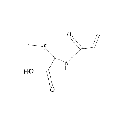 C=CC(=O)NC(SC)C(=O)O